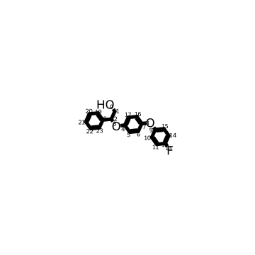 OCC(Oc1ccc(Oc2ccc(F)cc2)cc1)c1ccccc1